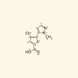 Cn1nccc1-c1sc(C(=O)O)cc1Cl